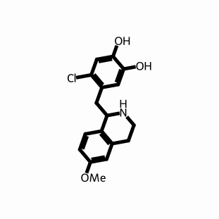 COc1ccc2c(c1)CCNC2Cc1cc(O)c(O)cc1Cl